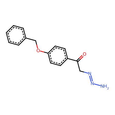 NN=NCC(=O)c1ccc(OCc2ccccc2)cc1